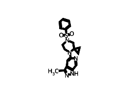 Cc1n[nH]c2cnc(N3CCN(S(=O)(=O)c4ccccc4)CC34CC4)cc12